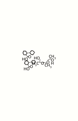 CC(O)COC(C)COC(C)CO.O=C(O)c1ccccc1-c1ccccc1.O=C(O)c1ccccc1-c1ccccc1